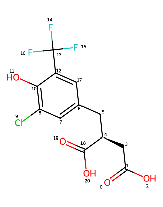 O=C(O)C[C@H](Cc1cc(Cl)c(O)c(C(F)(F)F)c1)C(=O)O